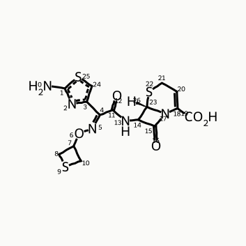 Nc1nc(C(=NOC2CSC2)C(=O)NC2C(=O)N3C(C(=O)O)=CCS[C@@H]23)cs1